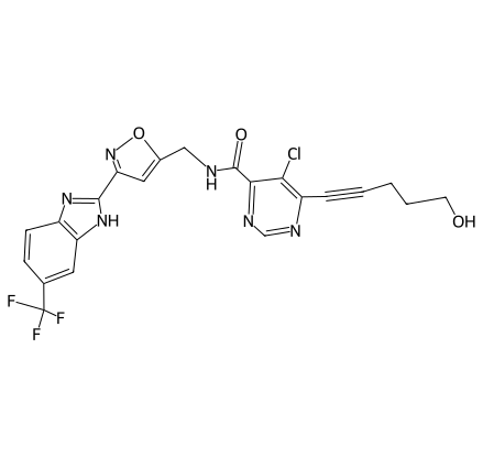 O=C(NCc1cc(-c2nc3ccc(C(F)(F)F)cc3[nH]2)no1)c1ncnc(C#CCCCO)c1Cl